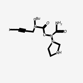 CCCCN(CC#CI)C(=O)ON(C(N)=O)N1CCNC1